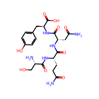 NC(=O)CC[C@H](NC(=O)[C@@H](N)CO)C(=O)N[C@@H](CC(N)=O)C(=O)N[C@@H](Cc1ccc(O)cc1)C(=O)O